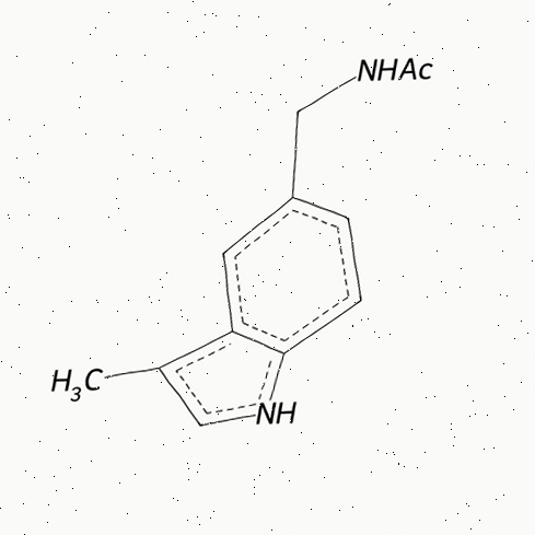 CC(=O)NCc1ccc2[nH]cc(C)c2c1